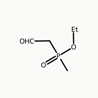 CCOP(C)(=O)CC=O